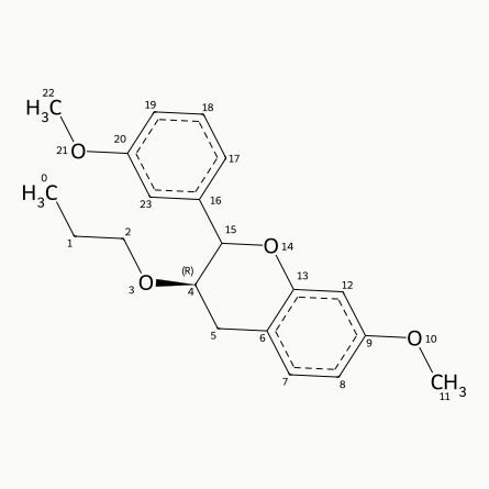 CCCO[C@@H]1Cc2ccc(OC)cc2OC1c1cccc(OC)c1